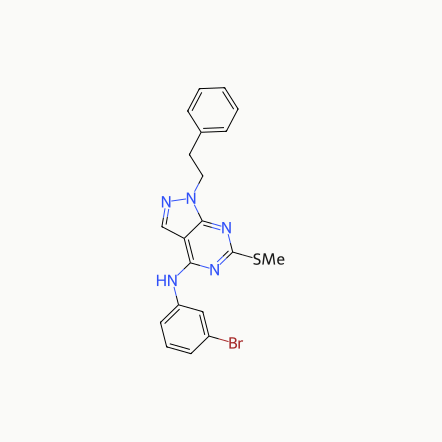 CSc1nc(Nc2cccc(Br)c2)c2cnn(CCc3ccccc3)c2n1